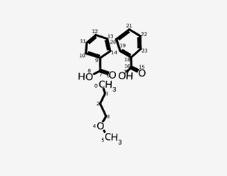 CCCCOC.O=C(O)c1ccccc1.O=C(O)c1ccccc1